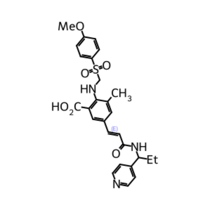 CCC(NC(=O)/C=C/c1cc(C)c(NCS(=O)(=O)c2ccc(OC)cc2)c(C(=O)O)c1)c1ccncc1